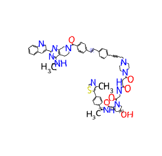 CNc1nc(-c2cnc3ccccc3c2)nc2c1CCN(C(=O)c1ccc(/C=C/c3ccc(C#CCN4CCN(C(=O)CC(=O)NCC(=O)N5C[C@H](O)C[C@H]5C(=O)N[C@@H](C)c5ccc(-c6scnc6C)cc5)CC4)cc3)cc1)C2